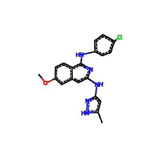 COc1ccc2c(Nc3ccc(Cl)cc3)nc(Nc3cc(C)[nH]n3)cc2c1